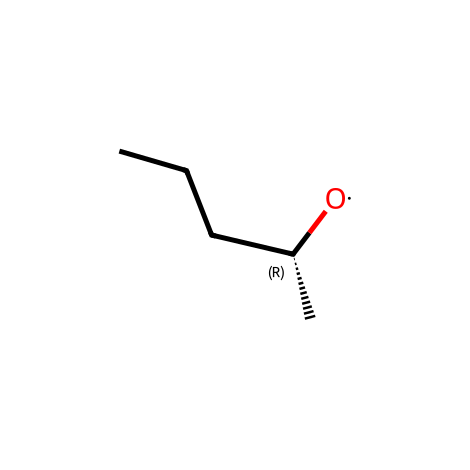 CCC[C@@H](C)[O]